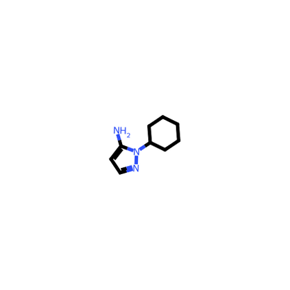 Nc1ccnn1C1CCCCC1